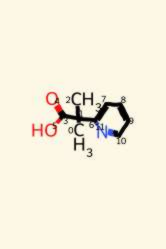 CC(C)(C(=O)O)c1ccccn1